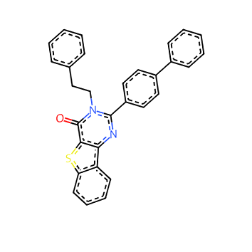 O=c1c2sc3ccccc3c2nc(-c2ccc(-c3ccccc3)cc2)n1CCc1ccccc1